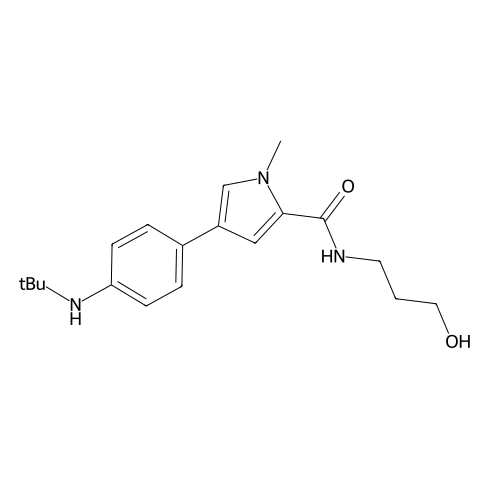 Cn1cc(-c2ccc(NC(C)(C)C)cc2)cc1C(=O)NCCCO